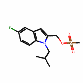 CC(C)Cn1c(COS(C)(=O)=O)cc2cc(F)ccc21